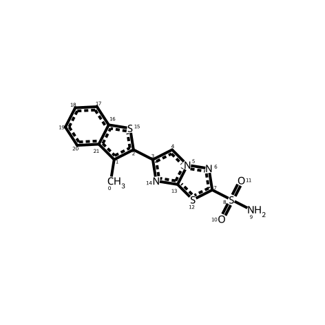 Cc1c(-c2cn3nc(S(N)(=O)=O)sc3n2)sc2ccccc12